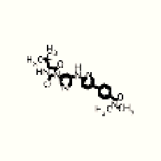 CC(C)C1NC(=O)N(c2cncc(Nc3ccc(-c4ccc(C(=O)N(C)C)cc4)cn3)c2)C1=O